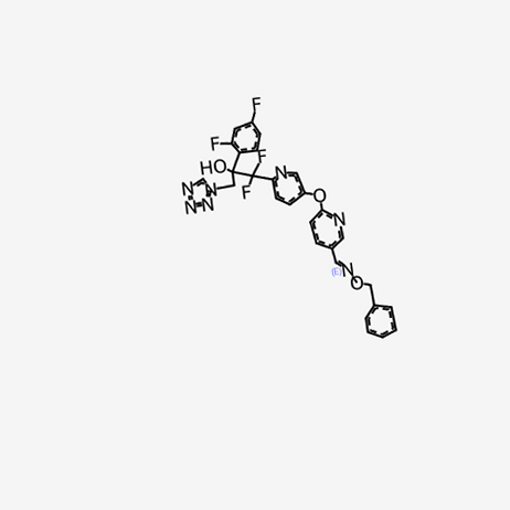 OC(Cn1cnnn1)(c1ccc(F)cc1F)C(F)(F)c1ccc(Oc2ccc(/C=N/OCc3ccccc3)cn2)cn1